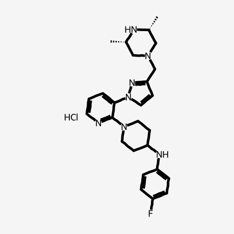 C[C@@H]1CN(Cc2ccn(-c3cccnc3N3CCC(Nc4ccc(F)cc4)CC3)n2)C[C@H](C)N1.Cl